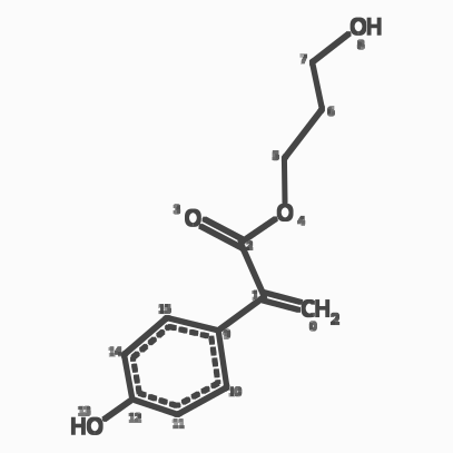 C=C(C(=O)OCCCO)c1ccc(O)cc1